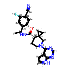 CC(NC(=O)[C@H]1CCN(c2ncnc3[nH]ccc23)CC12CC2)c1ccc(C#N)c(F)c1